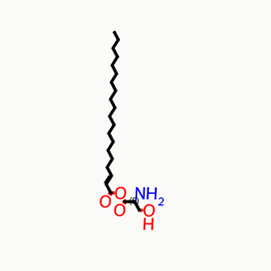 CCCCCCCCCCCCCCCCCC=CC(=O)OC(=O)[C@@H](N)CO